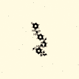 CCS(=O)(=O)c1ccc(OC)c(Nc2nccc(N(C)c3ccc(NC(=O)Nc4cccc(F)c4)cc3)n2)c1